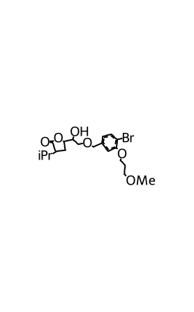 COCCCOc1cc(COCC(O)C2CC(C(C)C)C(=O)O2)ccc1Br